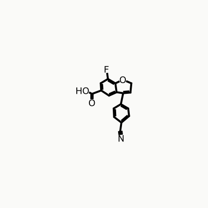 N#Cc1ccc(C2=CCOc3c(F)cc(C(=O)O)cc32)cc1